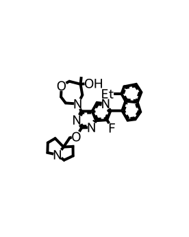 CCc1cccc2cccc(-c3ncc4c(N5CCOCC(C)(O)C5)nc(OCC56CCCN5CCC6)nc4c3F)c12